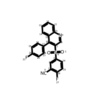 N#Cc1cc(S(=O)(=O)c2cnc3ccccc3c2-c2ccc(F)cc2)ccc1F